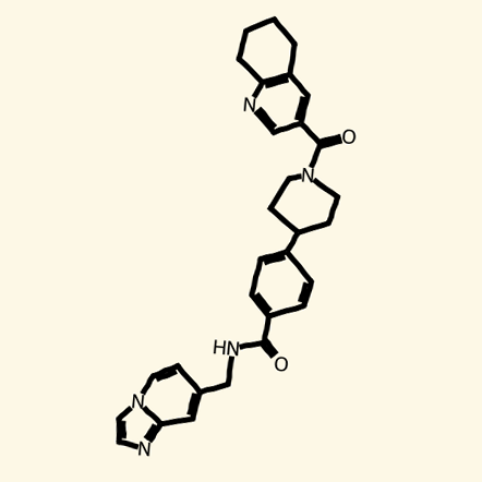 O=C(NCc1ccn2ccnc2c1)c1ccc(C2CCN(C(=O)c3cnc4c(c3)CCCC4)CC2)cc1